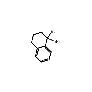 CCCC1(CC)CCCc2ccccc21